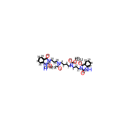 CCCCCCC(=O)N(CCCCN(CCCn1c(=O)[nH]c2ccccc2c1=O)C(=O)OC(C)(C)C)CCCn1c(=O)[nH]c2ccccc2c1=O